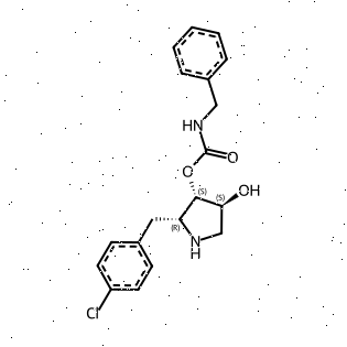 O=C(NCc1ccccc1)O[C@@H]1[C@@H](O)CN[C@@H]1Cc1ccc(Cl)cc1